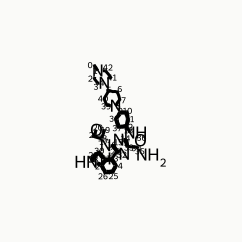 CN1CCN(C2CCN(c3ccc(Nc4nc(NC5COC5)c(-c5cccc6[nH]ccc56)nc4C(N)=O)cc3)CC2)CC1